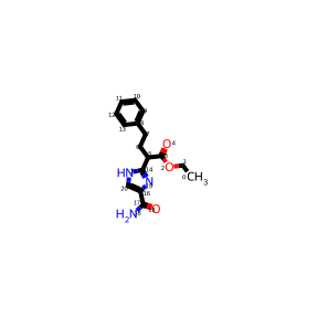 CCOC(=O)C(CCc1ccccc1)c1nc(C(N)=O)c[nH]1